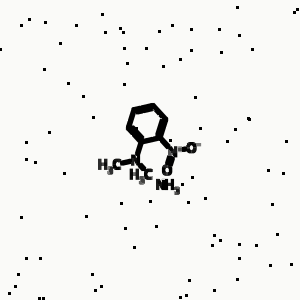 CN(C)c1ccccc1[N+](=O)[O-].N